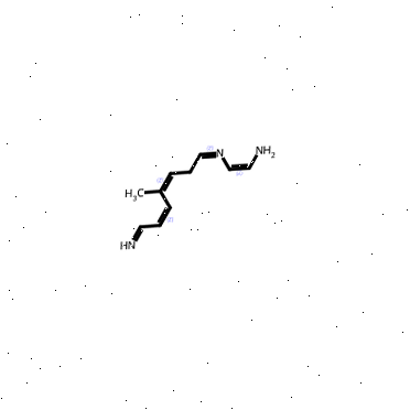 CC(/C=C\C=N)=C/C/C=N\C=C/N